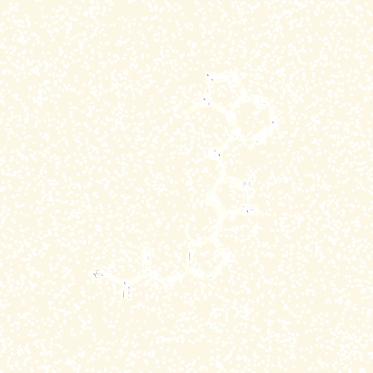 CCC(C)NC(=O)OC1CCC(c2cc(Nc3cncc4cnn(C)c34)n[nH]2)C1